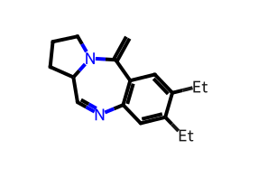 C=C1c2cc(CC)c(CC)cc2N=CC2CCCN12